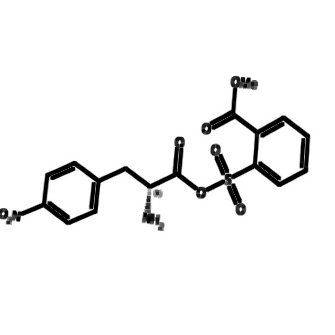 COC(=O)c1ccccc1S(=O)(=O)OC(=O)[C@H](N)Cc1ccc([N+](=O)[O-])cc1